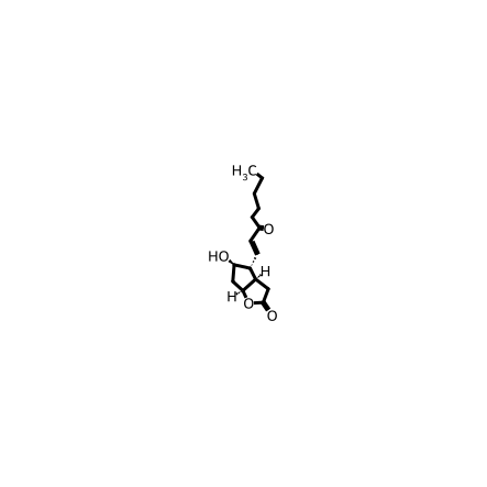 CCCCCC(=O)/C=C/[C@@H]1[C@H]2CC(=O)O[C@H]2C[C@H]1O